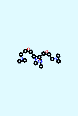 c1ccc(-c2nccn2-c2ccccc2-n2c3ccc(-c4ccc5oc6ccc(-c7cccc(-n8c9ccccc9c9ccccc98)c7)cc6c5c4)cc3c3cc(-c4ccc5oc6ccc(-c7cccc(-n8c9ccccc9c9ccccc98)c7)cc6c5c4)ccc32)cc1